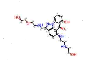 O=c1c2c(O)cccc2n2nc(CNCCOCCO)c3ccc(NCCNCCO)c1c32